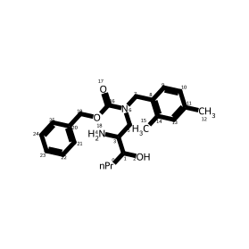 CCCC(O)C(N)CN(Cc1ccc(C)cc1C)C(=O)OCc1ccccc1